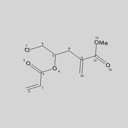 C=CC(=O)OC(CCl)CC(=C)C(=O)OC